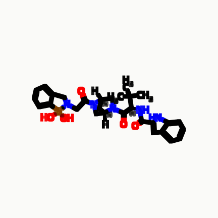 CC(C)(C)[C@H](NC(=O)c1cc2ccccc2[nH]1)C(=O)N1C[C@@H]2C[C@H]1CN2C(=O)CN1Cc2ccccc2S1(O)O